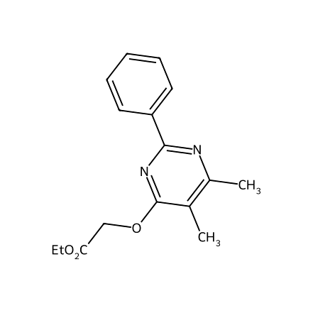 CCOC(=O)COc1nc(-c2ccccc2)nc(C)c1C